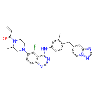 C=CC(=O)N1CCN(c2ccc3ncnc(Nc4ccc(Cc5ccn6ncnc6c5)c(C)c4)c3c2F)CC1C